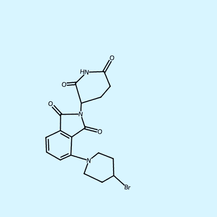 O=C1CCC(N2C(=O)c3cccc(N4CCC(Br)CC4)c3C2=O)C(=O)N1